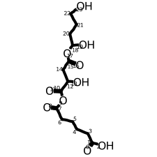 O=C(O)CCCCC(=O)OC(=O)C(O)CC(=O)OC(O)CCCO